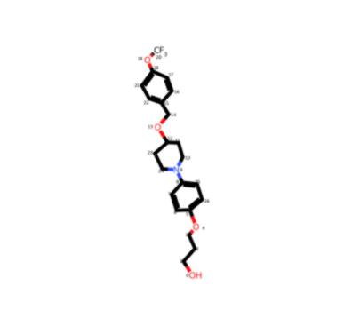 OCCCOc1ccc(N2CCC(OCc3ccc(OC(F)(F)F)cc3)CC2)cc1